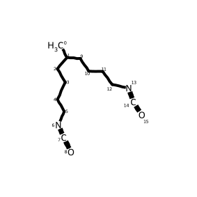 CC(CCCCN=C=O)CCCCN=C=O